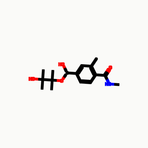 CNC(=O)c1ccc(B(O)OC(C)(C)C(C)(C)O)cc1C